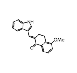 COc1cccc2c1CCC(=Cc1c[nH]c3ccccc13)C2=O